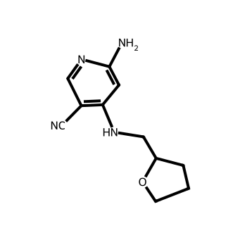 N#Cc1cnc(N)cc1NCC1CCCO1